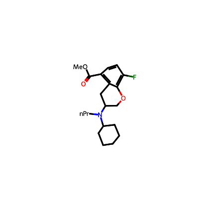 CCCN(C1CCCCC1)C1COc2c(F)ccc(C(=O)OC)c2C1